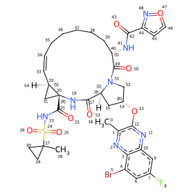 Cc1nc2c(Br)cc(F)cc2nc1O[C@@H]1C[C@H]2C(=O)N[C@]3(C(=O)NS(=O)(=O)C4(C)CC4)C[C@H]3C=CCCCCC[C@H](NC(=O)c3ccon3)C(=O)N2C1